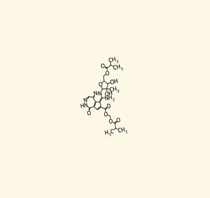 CC(C)C(=O)OCOC(=O)c1cc2c(=O)[nH]ncc3nn(C4OC(COC(=O)C(C)C)C(O)C4(C)O)c(N)c1c32